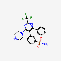 NS(=O)(=O)c1cccc(-c2c(-c3ccccc3)nc(C(F)(F)F)nc2N2CCNCC2)c1